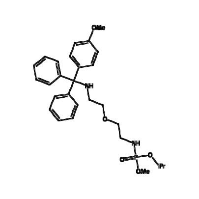 COc1ccc(C(NCCOCCNP(=O)(OC)OC(C)C)(c2ccccc2)c2ccccc2)cc1